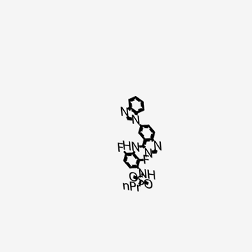 CCCS(=O)(=O)Nc1ccc(F)c(Nc2ncnc3ccc(-n4cnc5ccccc54)cc23)c1F